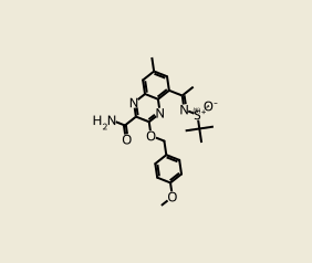 COc1ccc(COc2nc3c(C(C)=N[S@+]([O-])C(C)(C)C)cc(C)cc3nc2C(N)=O)cc1